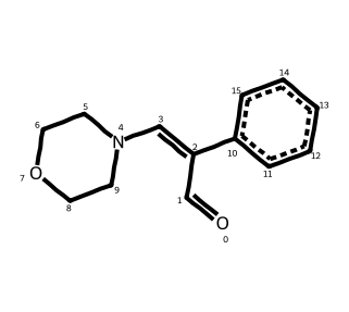 O=CC(=CN1CCOCC1)c1ccccc1